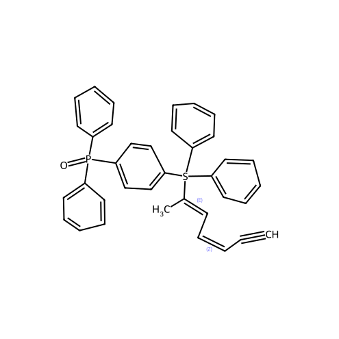 C#C/C=C\C=C(/C)S(c1ccccc1)(c1ccccc1)c1ccc(P(=O)(c2ccccc2)c2ccccc2)cc1